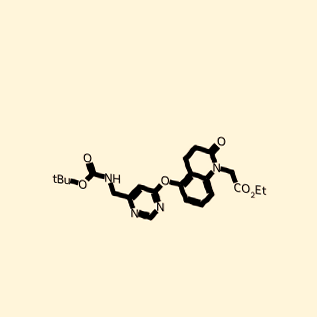 CCOC(=O)CN1C(=O)CCc2c(Oc3cc(CNC(=O)OC(C)(C)C)ncn3)cccc21